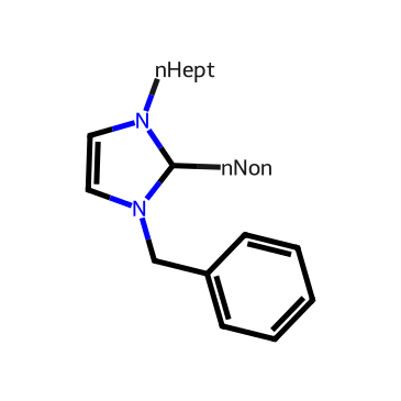 CCCCCCCCCC1N(CCCCCCC)C=CN1Cc1ccccc1